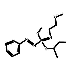 CCC(C)SP(N=Nc1ccccc1)(=NCCOC)OC